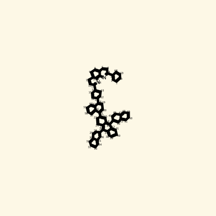 c1ccc(-c2ccc3ccc4ccc(-c5ccc(-c6ccc(-c7ccc8c(-c9ccc%10ccccc%10c9)c9ccccc9c(-c9ccc%10ccccc%10c9)c8c7)c7ccccc67)cc5)nc4c3n2)cc1